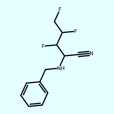 N#CC(NCc1ccccc1)C(F)C(F)CF